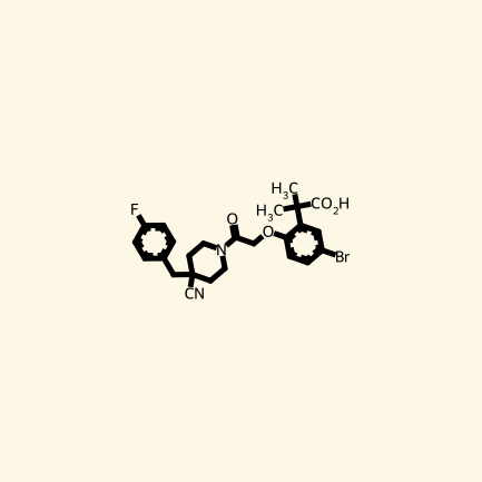 CC(C)(C(=O)O)c1cc(Br)ccc1OCC(=O)N1CCC(C#N)(Cc2ccc(F)cc2)CC1